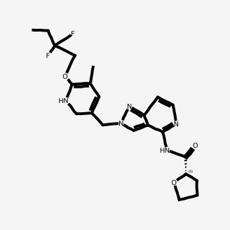 CCC(F)(F)COC1=C(C)C=C(Cn2cc3c(NC(=O)[C@@H]4CCCO4)nccc3n2)CN1